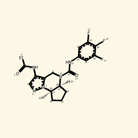 CCC(=O)Nc1cnn2c1CN(C(=O)Nc1cc(F)c(F)c(F)c1)[C@H]1CCC[C@H]12